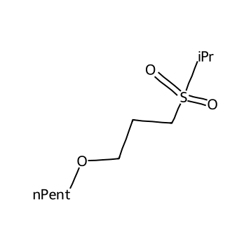 C[CH]CCCOCCCS(=O)(=O)C(C)C